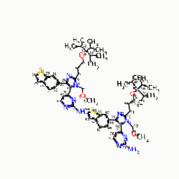 COCn1c(CCCO[Si](C(C)C)(C(C)C)C(C)C)nc(-c2ccc3ccsc3c2)c1-c1ccnc(N)n1.COCn1c(CCCO[Si](C(C)C)(C(C)C)C(C)C)nc(-c2ccc3ccsc3c2)c1-c1ccnc(N)n1